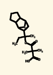 CCC(C)(OC(=O)C(C)(C)C(=O)O)C1CC2SC1C1CCCC21